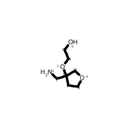 NCC1(OCCO)CCOC1